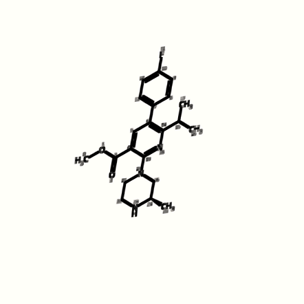 COC(=O)c1cc(-c2ccc(F)cc2)c(C(C)C)nc1N1CCN[C@H](C)C1